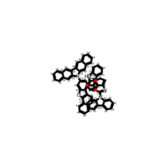 CC1C/C=C(c2cccc3sc4ccccc4c23)/N=C(n2c3ccccc3c3ccccc32)\N=C/1c1cc(-n2c3cc4ccccc4cc3c3cc4ccccc4cc32)cc2oc3c4ccccc4ccc3c12